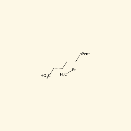 CCC.CCCCCCCCCC(=O)O